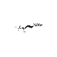 CN/C=C/PC